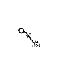 N[C@@H](CCCCNC(=O)OCC1C2CCC#CCCC21)C(=O)O